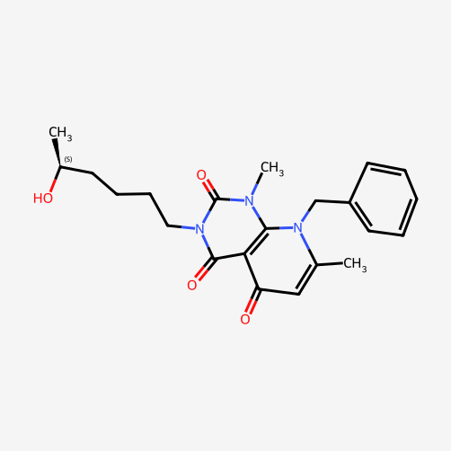 Cc1cc(=O)c2c(=O)n(CCCC[C@H](C)O)c(=O)n(C)c2n1Cc1ccccc1